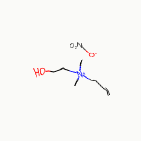 C=CC[N+](C)(C)CCO.O=[N+]([O-])[O-]